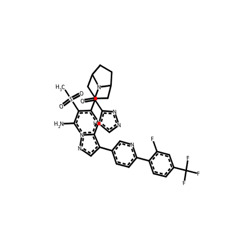 CS(=O)(=O)c1c(C2CC3CCC(C2)N3C(=O)c2nnc[nH]2)nc2c(-c3ccc(-c4ccc(C(F)(F)F)cc4F)nc3)cnn2c1N